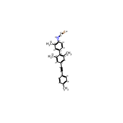 Cc1ccc(C#Cc2cc(C)c(-c3ccc(N=C=S)c(C)c3)c(C)c2)cc1